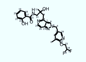 Cc1cc(Cn2cc3c(CC(C)(O)CNC(=O)c4ccccc4O)nccc3n2)cnc1OCC(F)F